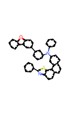 c1ccc(-c2nc3ccc4ccc5ccc(N(c6ccccc6)c6cccc(-c7ccc8oc9ccccc9c8c7)c6)cc5c4c3s2)cc1